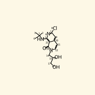 CC(C)(C)Nc1nc(Cl)cc2ccn(CC(O)CO)c(=O)c12